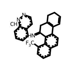 C.N=C1CC2=C(C=CCC2)c2ccc3cccc(C(F)(F)F)c3c21.c1ccc2nnccc2c1